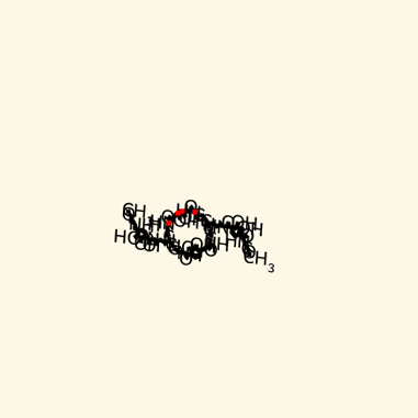 COCCNCc1ccc(C(=O)NCCCN2CCCNC(=O)c3ccc(c(O)c3O)C(=O)NCCCN(CCCNC(=O)c3ccc(C(=O)NCCOC)c(O)c3O)CCCNC(=O)c3ccc(c(O)c3O)C(=O)NCCC2)c(O)c1O